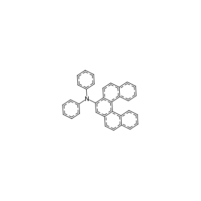 c1ccc(N(c2ccccc2)c2cc3ccc4ccccc4c3c3c2ccc2ccccc23)cc1